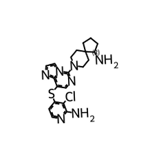 Nc1nccc(Sc2cnc(N3CCC4(CCC[C@H]4N)CC3)n3ccnc23)c1Cl